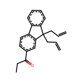 C=CCC1(CC=C)c2ccccc2-c2ccc(C(=O)CC)cc21